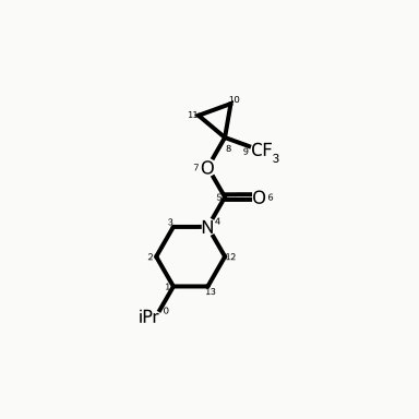 CC(C)C1CCN(C(=O)OC2(C(F)(F)F)CC2)CC1